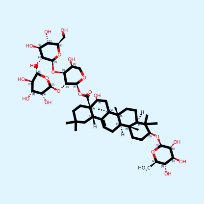 C[C@@H]1O[C@@H](O[C@H]2[C@H](OC(=O)[C@]34CCC(C)(C)C[C@H]3C3=CC[C@@H]5[C@@]6(C)CC[C@H](O[C@@H]7O[C@H](C(=O)O)[C@@H](O)[C@H](O)[C@H]7O)C(C)(C)[C@@H]6CC[C@@]5(C)[C@]3(C)C[C@H]4O)OC[C@H](O)[C@@H]2O[C@@H]2O[C@H](CO)[C@@H](O)[C@H](O)[C@H]2O)[C@H](O)[C@H](O)[C@H]1O